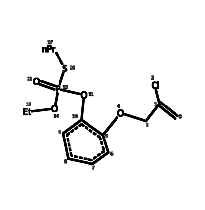 C=C(Cl)COc1ccccc1OP(=O)(OCC)SCCC